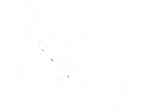 C=C[C@@H]1C[C@]1(NC(=O)[C@@H]1C[C@]2(OC)CN1C(=O)[C@H](C(C)(C)C)NC(=O)OCCCCc1cc2ccc1-c1ccccc1)C(=O)NS(=O)(=O)C1CC1